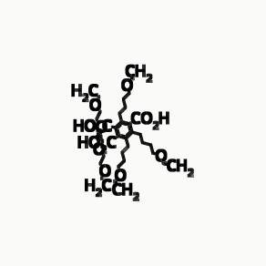 C=COCCCCc1c(CCCCOC=C)c(C(=O)O)c(C(=O)O)c(CCCCOC=C)c1C(=O)O.C=COCCOCCOCCOC=C